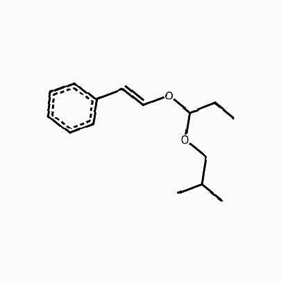 CCC(OC=Cc1ccccc1)OCC(C)C